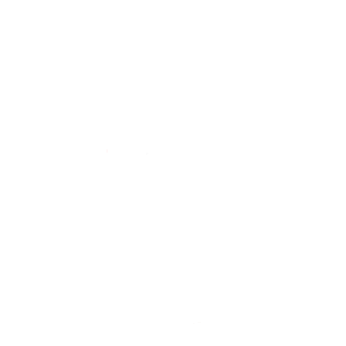 O=C(c1ccc(CBr)cc1)c1ccc(Cl)cc1Cl